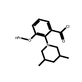 CCCOc1cccc(C(=O)Cl)c1N1CC(C)CC(C)C1